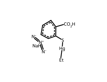 C[CH2][Hg][S]c1ccccc1C(=O)O.[N-]=[N+]=[N-].[NaH]